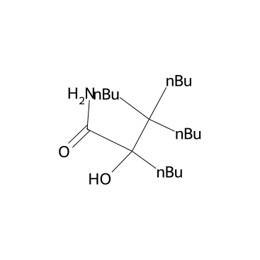 CCCCC(CCCC)(CCCC)C(O)(CCCC)C(N)=O